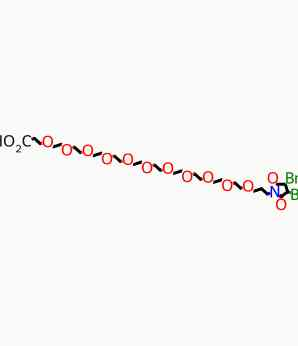 O=C(O)CCOCCOCCOCCOCCOCCOCCOCCOCCOCCOCCOCCCN1C(=O)C(Br)C(Br)C1=O